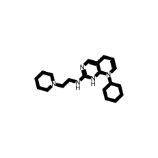 C1=CN(C2CCCCC2)C2NC(NCCN3CCCCC3)=NC=C2C1